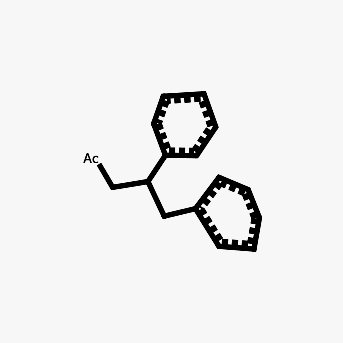 CC(=O)CC(Cc1ccccc1)c1ccccc1